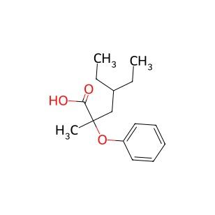 CCC(CC)CC(C)(Oc1ccccc1)C(=O)O